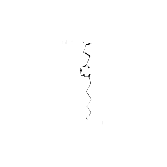 CCCCCC(=O)/C=C/c1ccc(CCCCCCC(=O)O)s1